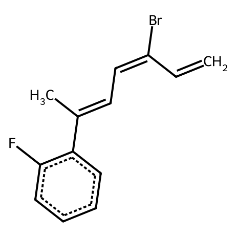 C=C/C(Br)=C\C=C(/C)c1ccccc1F